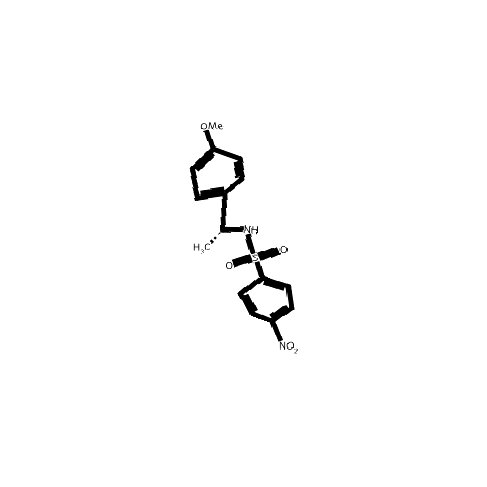 COc1ccc([C@@H](C)NS(=O)(=O)c2ccc([N+](=O)[O-])cc2)cc1